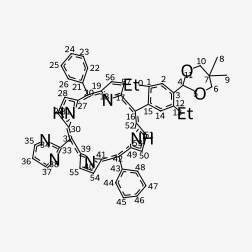 CCc1cc(C2OCC(C)(C)CO2)c(CC)cc1-c1c2nc(c(-c3ccccc3)c3ccc([nH]3)c(-c3ncccn3)c3nc(c(-c4ccccc4)c4ccc1[nH]4)C=C3)C=C2